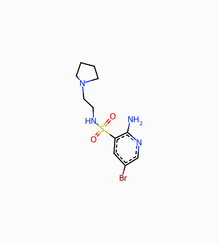 Nc1ncc(Br)cc1S(=O)(=O)NCCN1CCCC1